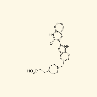 O=C(O)CCN1CCN(Cc2ccc3[nH]c(-c4cc5ccccc5[nH]c4=O)cc3c2)CC1